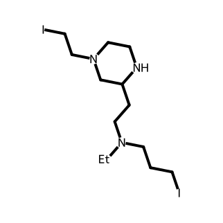 CCN(CCCI)CCC1CN(CCI)CCN1